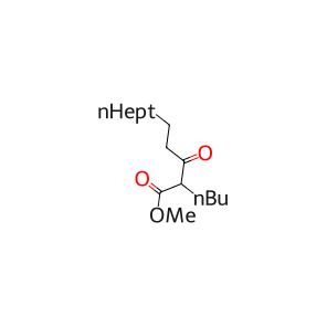 CCCCCCCCCC(=O)C(CCCC)C(=O)OC